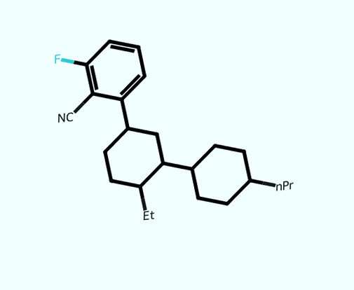 CCCC1CCC(C2CC(c3cccc(F)c3C#N)CCC2CC)CC1